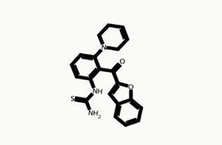 NC(=S)Nc1cccc(N2CC=CCC2)c1C(=O)c1cc2ccccc2o1